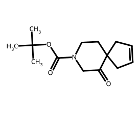 CC(C)(C)OC(=O)N1CCC2(CC=CC2)C(=O)C1